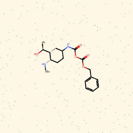 CC(C)[C@H](O)[C@@H]1CC(NC(=O)OC(=O)OCc2ccccc2)CC[C@@H]1NC(C)(C)C